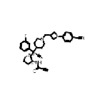 C#CC(=O)N[C@H]1CCC[C@@H]1[C@](C#N)(c1cccc(F)c1)C1CCN(CC2CN(c3ccc(C#N)cc3)C2)CC1